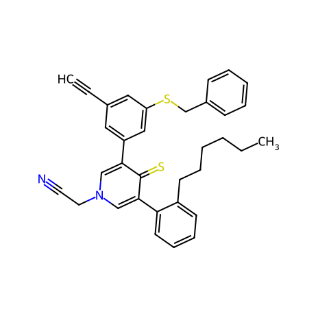 C#Cc1cc(SCc2ccccc2)cc(-c2cn(CC#N)cc(-c3ccccc3CCCCCC)c2=S)c1